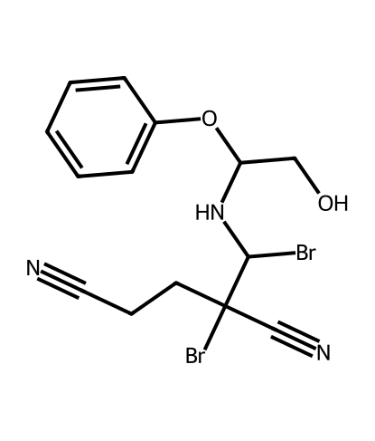 N#CCCC(Br)(C#N)C(Br)NC(CO)Oc1ccccc1